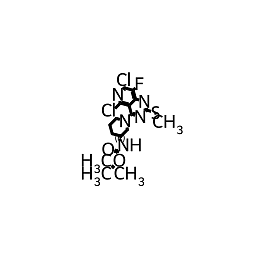 CSc1nc(N2CCC[C@@H](NC(=O)OC(C)(C)C)C2)c2c(Cl)nc(Cl)c(F)c2n1